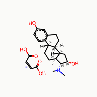 CN(C)[C@H]1[C@H](O)C[C@H]2[C@@H]3CCc4cc(O)ccc4[C@H]3CC[C@]12C.O=C(O)/C=C\C(=O)O